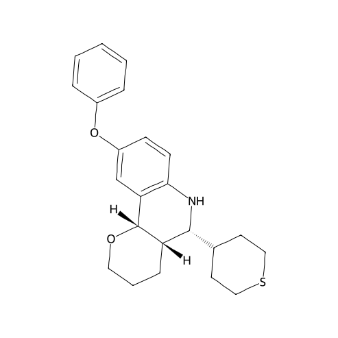 c1ccc(Oc2ccc3c(c2)[C@H]2OCCC[C@H]2[C@@H](C2CCSCC2)N3)cc1